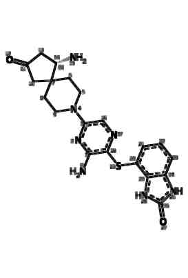 Nc1nc(N2CCC3(CC2)CC(=O)C[C@@H]3N)cnc1Sc1cccc2[nH]c(=O)[nH]c12